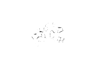 CCOC(=O)c1cccc2nc(OCC)n(Cc3ccc(-n4c(Br)ccc4-c4nnn[nH]4)cc3)c12